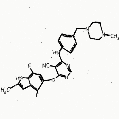 Cc1cc2c(F)c(Oc3ncnc(Nc4ccc(CN5CCN(C)CC5)cc4)c3C#N)cc(F)c2[nH]1